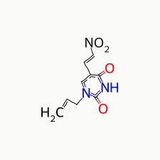 C=CCn1cc(/C=C/[N+](=O)[O-])c(=O)[nH]c1=O